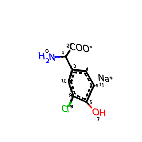 NC(C(=O)[O-])c1ccc(O)c(Cl)c1.[Na+]